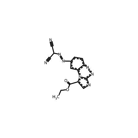 CCOC(=O)c1cnc2nnc3ccc(/N=N/C(C#N)C#N)cc3n12